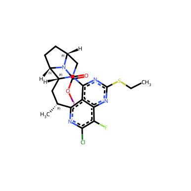 CCSc1nc2c3c(nc(Cl)c(F)c3n1)[C@H](C)C[C@@H]1[C@@H]3CC[C@H](CN21)N3C(=O)OI